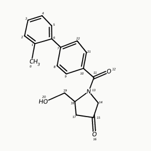 Cc1ccccc1-c1ccc(C(=O)N2CC(=O)CC2CO)cc1